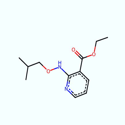 CCOC(=O)c1cccnc1NOCC(C)C